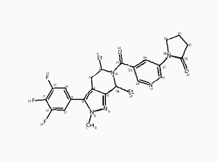 CCC1Cc2c(nn(C)c2-c2cc(F)c(F)c(F)c2)C(CC)N1C(=O)c1cncc(N2CCCC2=O)c1